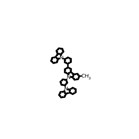 Cc1ccc2c(c1)c1cc(-c3cccc(-n4c5ccccc5c5ccccc54)c3)ccc1n2-c1cccc(-n2c3ccccc3c3ccccc32)c1